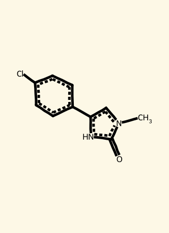 Cn1cc(-c2ccc(Cl)cc2)[nH]c1=O